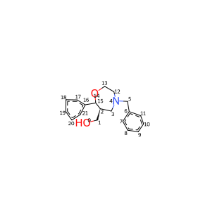 OC[C@@H]1CN(Cc2ccccc2)CCOC1c1ccccc1